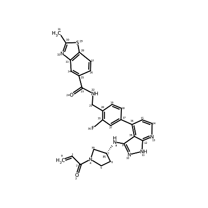 C=CC(=O)N1CC[C@@H](Nc2n[nH]c3nccc(-c4ccc(CNC(=O)c5ccc6sc(C)nc6c5)c(F)c4)c23)C1